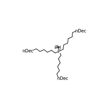 CCCCCCCCCCCCCCCC[PH](CCCCCCCCCCCCCCCC)(CCCCCCCCCCCCCCCC)C(C)C